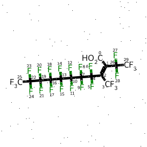 O=C(O)C(=C(C(F)(F)F)C(F)(F)C(F)(F)C(F)(F)C(F)(F)C(F)(F)C(F)(F)C(F)(F)C(F)(F)F)C(F)(F)C(F)(F)F